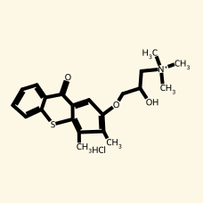 Cc1c(OCC(O)C[N+](C)(C)C)cc2c(=O)c3ccccc3sc2c1C.Cl